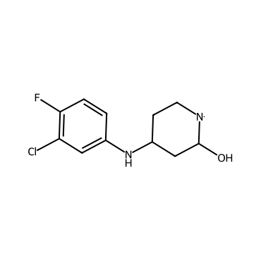 OC1CC(Nc2ccc(F)c(Cl)c2)CC[N]1